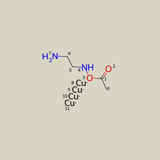 CC(=O)ONCCN.[Cu].[Cu].[Cu].[Cu]